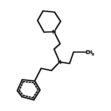 CCCN(CCc1ccccc1)CCN1CCCCC1